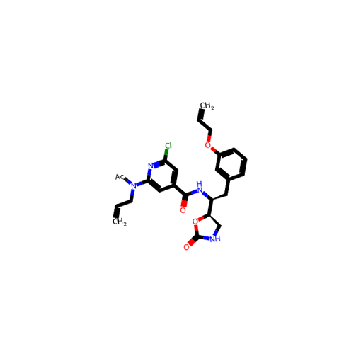 C=CCOc1cccc(C[C@H](NC(=O)c2cc(Cl)nc(N(CC=C)C(C)=O)c2)[C@H]2CNC(=O)O2)c1